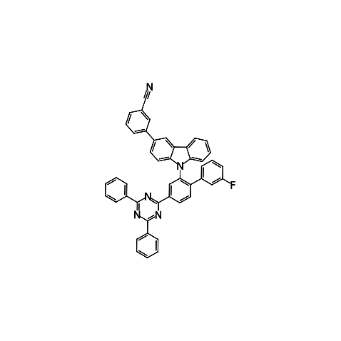 N#Cc1cccc(-c2ccc3c(c2)c2ccccc2n3-c2cc(-c3nc(-c4ccccc4)nc(-c4ccccc4)n3)ccc2-c2cccc(F)c2)c1